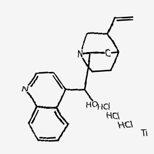 C=CC1CN2CCC1CC2C(O)c1ccnc2ccccc12.Cl.Cl.Cl.[Ti]